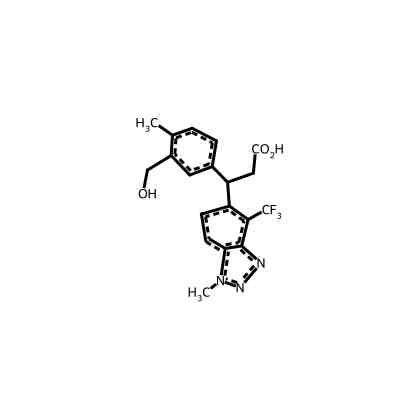 Cc1ccc(C(CC(=O)O)c2ccc3c(nnn3C)c2C(F)(F)F)cc1CO